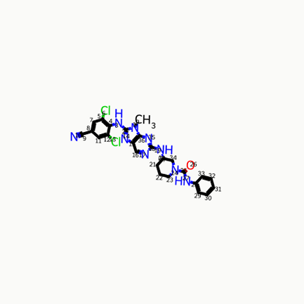 Cn1c(Nc2c(Cl)cc(C#N)cc2Cl)nc2cnc(N[C@@H]3CCCN(C(=O)Nc4ccccc4)C3)nc21